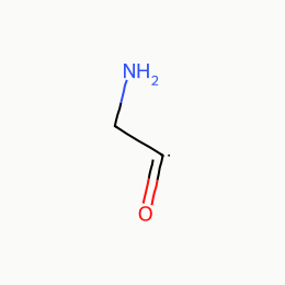 NC[C]=O